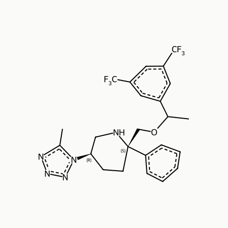 Cc1nnnn1[C@@H]1CC[C@@](COC(C)c2cc(C(F)(F)F)cc(C(F)(F)F)c2)(c2ccccc2)NC1